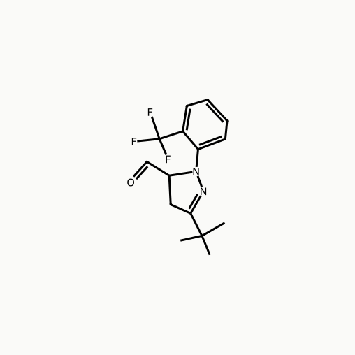 CC(C)(C)C1=NN(c2ccccc2C(F)(F)F)C(C=O)C1